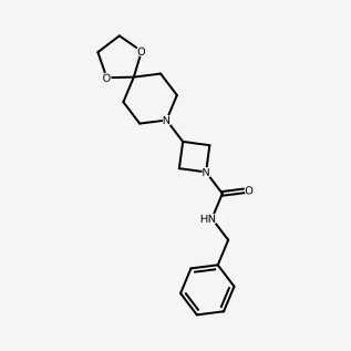 O=C(NCc1ccccc1)N1CC(N2CCC3(CC2)OCCO3)C1